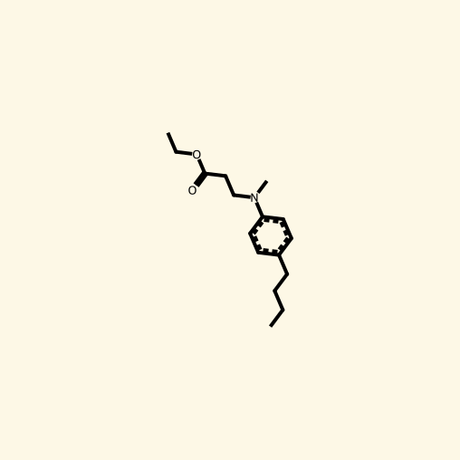 CCCCc1ccc(N(C)CCC(=O)OCC)cc1